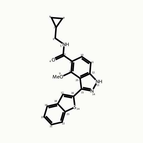 COc1c(C(=O)NCC2CC2)ccc2[nH]nc(-c3cc4ccccc4s3)c12